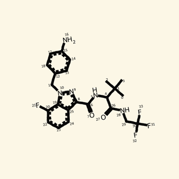 CC(C)(C)C(NC(=O)c1nn(Cc2ccc(N)cc2)c2c(F)cccc12)C(=O)NCC(F)(F)F